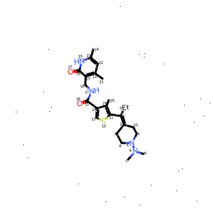 CCC(=C1CCN(N(C)C)CC1)c1scc(C(=O)NCc2c(C)cc(C)[nH]c2=O)c1C